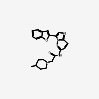 CC1CCN(CC(=O)Nc2ccc3ncc(-c4cc5ccccc5o4)n3n2)CC1